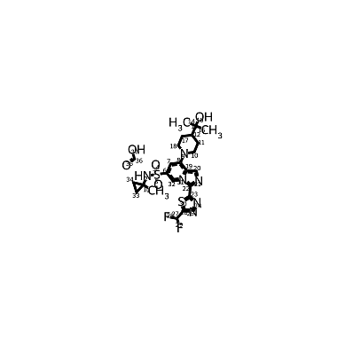 CC1(NS(=O)(=O)c2cc(N3CCC(C(C)(C)O)CC3)c3cnc(-c4nnc(C(F)F)s4)n3c2)CC1.O=CO